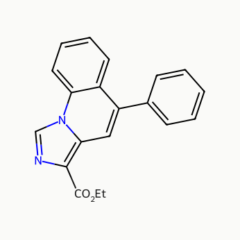 CCOC(=O)c1ncn2c1cc(-c1ccccc1)c1ccccc12